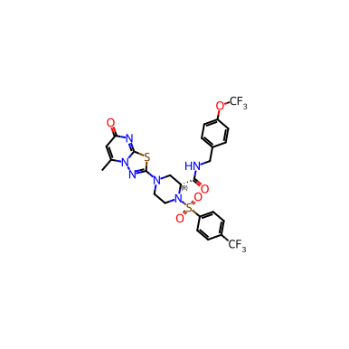 Cc1cc(=O)nc2sc(N3CCN(S(=O)(=O)c4ccc(C(F)(F)F)cc4)[C@@H](C(=O)NCc4ccc(OC(F)(F)F)cc4)C3)nn12